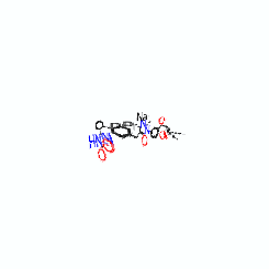 CCCc1nc(C)n(-c2ccc3c(c2)C(=O)CC(C)(C)O3)c(=O)c1Cc1ccc(-c2ccccc2-c2noc(=O)[nH]2)cc1.[Na]